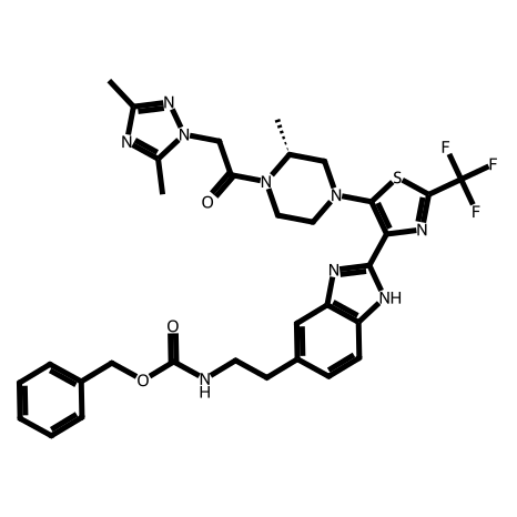 Cc1nc(C)n(CC(=O)N2CCN(c3sc(C(F)(F)F)nc3-c3nc4cc(CCNC(=O)OCc5ccccc5)ccc4[nH]3)C[C@H]2C)n1